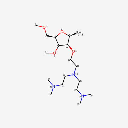 B[C@@H]1O[C@H](COC)C(OC)[C@@H]1OCCN(CCN(C)C)CCN(C)C